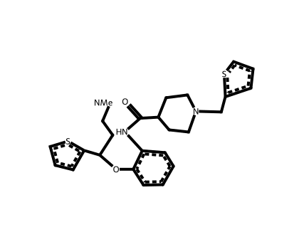 CNCCC(Oc1ccccc1NC(=O)C1CCN(Cc2cccs2)CC1)c1cccs1